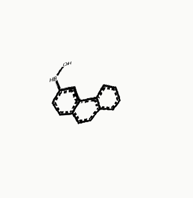 OBc1ccc2ccc3ccccc3c2c1